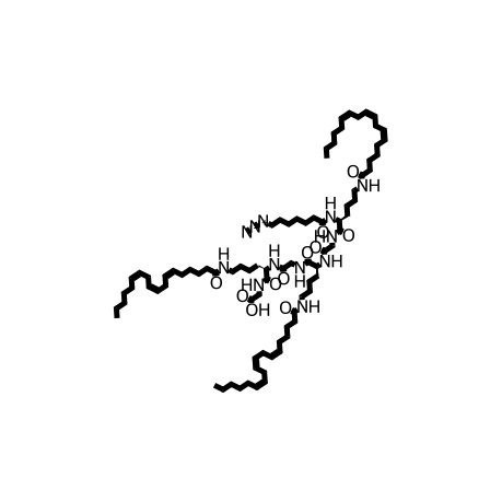 CCCCC/C=C\C/C=C\C/C=C\CCCCC(=O)NCCCC[C@H](NC(=O)CCCCCCN=[N+]=[N-])C(=O)NCC(=O)N[C@@H](CCCCNC(=O)CCCC/C=C\C/C=C\C/C=C\CCCCC)C(=O)NCC(=O)N[C@@H](CCCCNC(=O)CCCC/C=C\C/C=C\C/C=C\CCCCC)C(=O)NCC(=O)O